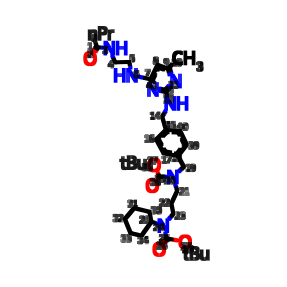 CCCC(=O)NCCNc1cc(C)nc(NCc2ccc(CN(CCCN(C(=O)OC(C)(C)C)C3CCCCC3)C(=O)OC(C)(C)C)cc2)n1